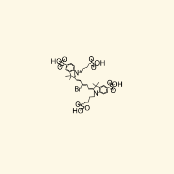 CC1(C)C(/C=C/C(Br)=C/C=C2/N(CCCCS(=O)(=O)O)c3ccc(S(=O)(=O)O)cc3C2(C)C)=[N+](CCCCS(=O)(=O)O)c2ccc(S(=O)(=O)O)cc21